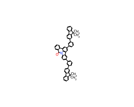 CC1(C)c2ccccc2-c2ccc(-c3cccc(-c4ccc5c(c4)c4cc(-c6cccc(-c7ccc8c(c7)C(C)(C)c7ccccc7-8)c6)cc6c7ccccc7c(=O)n5c64)c3)cc21